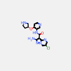 Nc1nn2cc(Cl)cnc2c1C(=O)Nc1cnccc1O[C@H]1CCNC1